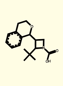 CC(C)(C)C1C(C2OCCc3ccccc32)CN1C(=O)O